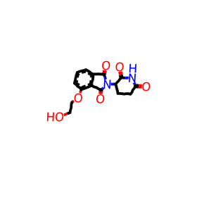 O=C1CCC(N2C(=O)c3cccc(OCCO)c3C2=O)C(=O)N1